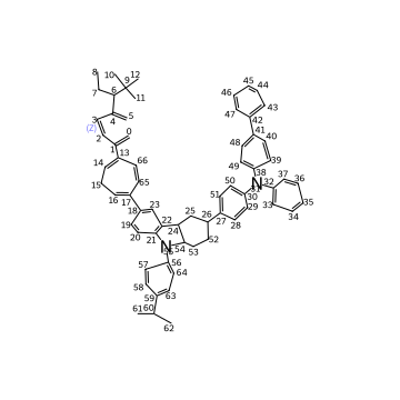 C=C(/C=C\C(=C)C(CC)C(C)(C)C)C1=CCC=C(c2ccc3c(c2)C2CC(c4ccc(N(c5ccccc5)c5ccc(-c6ccccc6)cc5)cc4)CCC2N3c2ccc(C(C)C)cc2)C=C1